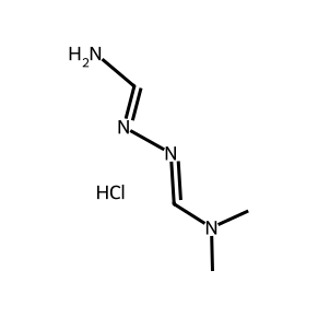 CN(C)C=NN=CN.Cl